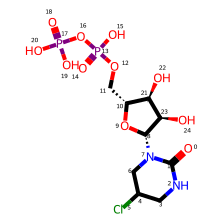 O=C1NCC(Cl)CN1[C@@H]1O[C@H](COP(=O)(O)OP(=O)(O)O)[C@@H](O)[C@H]1O